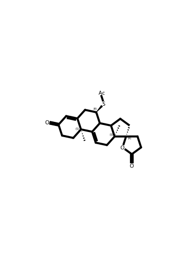 CC(=O)S[C@@H]1CC2=CC(=O)CC[C@]2(C)C2=CC[C@@]3(C)C(CC[C@@]34CCC(=O)O4)C21